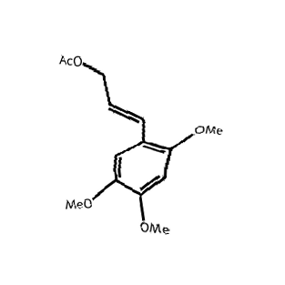 COc1cc(OC)c(OC)cc1/C=C/COC(C)=O